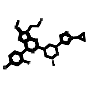 C/N=c1/sc2c(-c3ccc(Cl)cc3F)nc(N3C[C@@H](C)O[C@H](c4cnn(C5CC5)c4)C3)nc2n1CCF